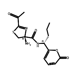 CCC[C@@H](NC(=O)[C@]1(N)CSC(C(C)=O)=N1)c1cccc(=O)o1